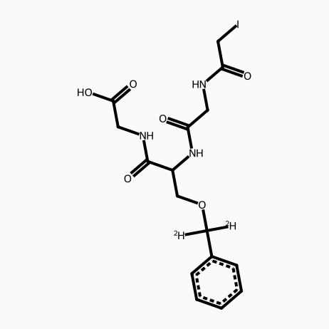 [2H]C([2H])(OCC(NC(=O)CNC(=O)CI)C(=O)NCC(=O)O)c1ccccc1